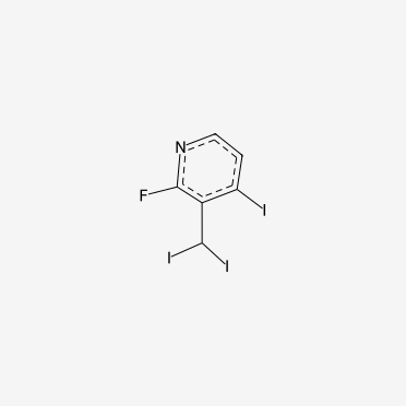 Fc1nccc(I)c1C(I)I